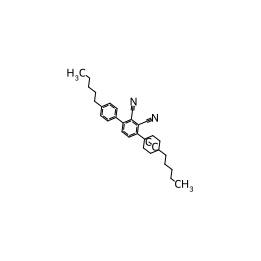 CCCCCc1ccc(-c2ccc(C34CCC(CCCCC)(CC3)CC4)c(C#N)c2C#N)cc1